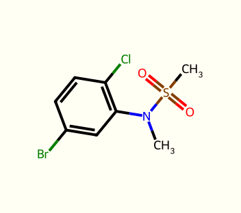 CN(c1cc(Br)ccc1Cl)S(C)(=O)=O